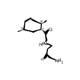 C[C@H]1CC[C@@H](C)[C@@H](C(=O)NCC(N)=O)C1